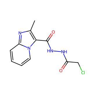 Cc1nc2ccccn2c1C(=O)NNC(=O)CCl